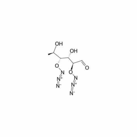 C[C@@H](O)[C@@H](ON=[N+]=[N-])[C@H](O)[C@@H](C=O)ON=[N+]=[N-]